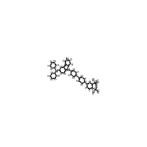 FC(F)(F)c1ccc(-c2ccc(-c3ccc(-n4c5ccncc5c5cc(N(c6ccccc6)c6ccccc6)ccc54)cc3)cc2)cc1C(F)(F)F